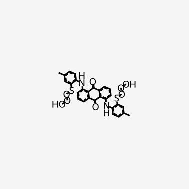 Cc1ccc(Nc2cccc3c2C(=O)c2cccc(Nc4ccc(C)cc4SOOO)c2C3=O)c(SOOO)c1